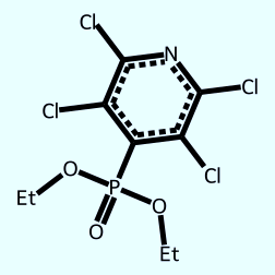 CCOP(=O)(OCC)c1c(Cl)c(Cl)nc(Cl)c1Cl